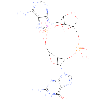 CC1C2COP(=O)(O)OC3C4OCC3(COP(=O)(O)OC1C(n1cnc3c(=O)[nH]c(N)nc31)O2)OC4n1cnc2c(N)ncnc21